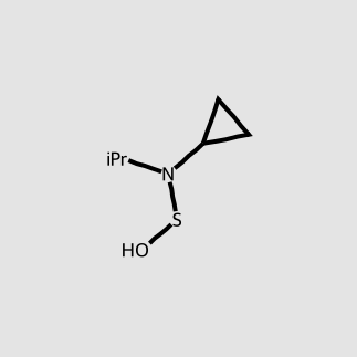 CC(C)N(SO)C1CC1